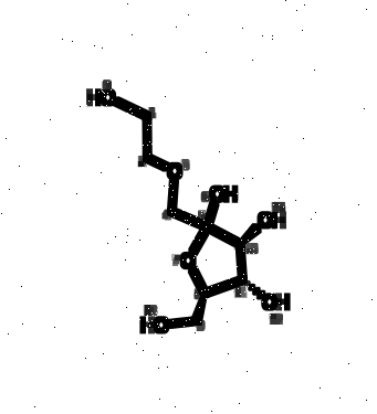 OCCOCC1(O)O[C@H](CO)[C@@H](O)[C@@H]1O